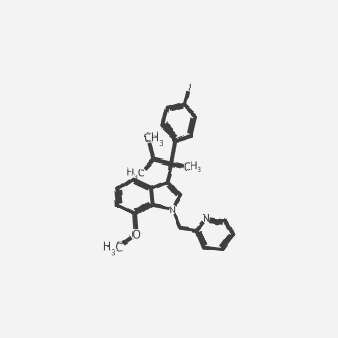 COc1cccc2c(C(C)(c3ccc(I)cc3)C(C)C)cn(Cc3ccccn3)c12